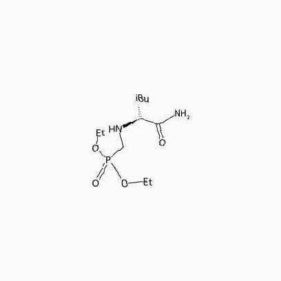 CCOP(=O)(CN[C@H](C(N)=O)[C@@H](C)CC)OCC